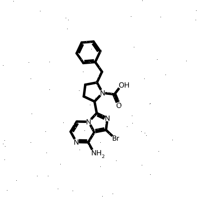 Nc1nccn2c(C3CCC(Cc4ccccc4)N3C(=O)O)nc(Br)c12